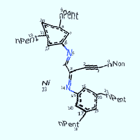 CCCCCCCCCC#CC(/C=N/c1cc(CCCCC)cc(CCCCC)c1)=N\c1cc(CCCCC)cc(CCCCC)c1.[Ni]